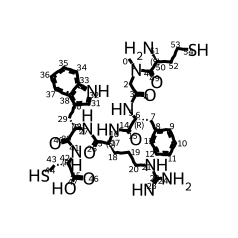 CN(CC(=O)N[C@H](Cc1ccccc1)C(=O)N[C@@H](CCCNC(=N)N)C(=O)N[C@@H](Cc1c[nH]c2ccccc12)C(=O)N[C@@H](CS)C(=O)O)C(=O)[C@@H](N)CCS